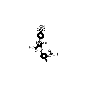 Cc1ccc(N=Nc2c(C(=O)O)nn(-c3ccc(S(=O)(=O)O)cc3)c2O)cc1OS(=O)O